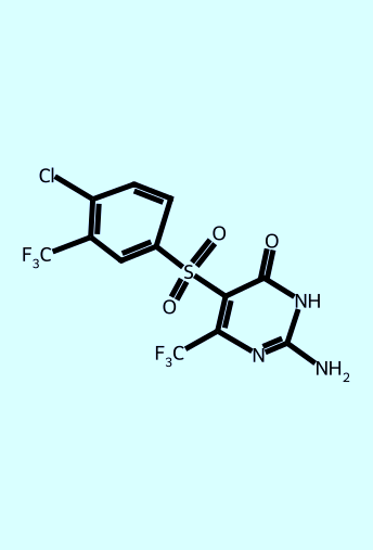 Nc1nc(C(F)(F)F)c(S(=O)(=O)c2ccc(Cl)c(C(F)(F)F)c2)c(=O)[nH]1